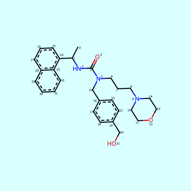 CC(NC(=O)N(CCCN1CCOCC1)Cc1ccc(CO)cc1)c1cccc2ccccc12